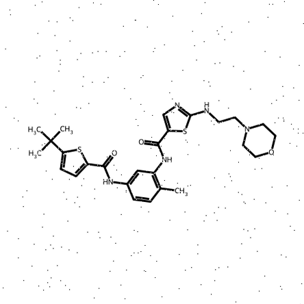 Cc1ccc(NC(=O)c2ccc(C(C)(C)C)s2)cc1NC(=O)c1cnc(NCCN2CCOCC2)s1